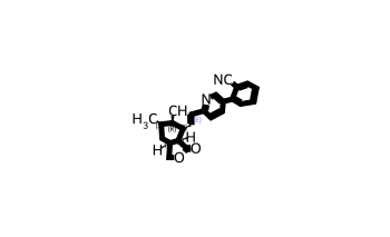 C[C@H]1[C@H](/C=C/c2ccc(-c3ccccc3C#N)cn2)[C@H]2C(=O)OC[C@H]2C[C@@H]1C